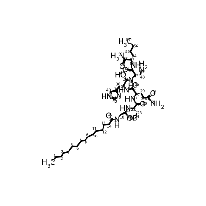 CCCCCCCCCCCCCCCC(=O)NCC(O)N[C@@H](CO)C(=O)N[C@@H](CCC(N)=O)C(=O)N[C@@H](Cc1c[nH]cn1)C(O)N[C@@H](CN)C(=O)N[C@@H](CCCC)C(N)=O